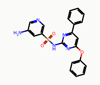 Nc1cncc(S(=O)(=O)Nc2nc(Oc3ccccc3)cc(-c3ccccc3)n2)c1